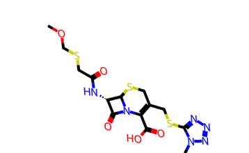 COCSCC(=O)N[C@H]1C(=O)N2C(C(=O)O)=C(CSc3nnnn3C)CSC12